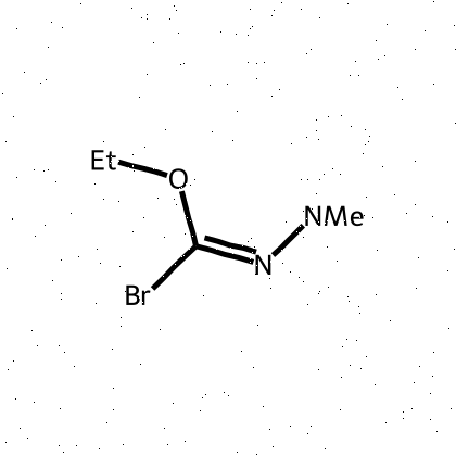 CCO/C(Br)=N\NC